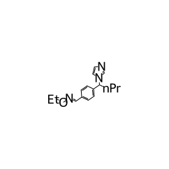 CCCC(c1ccc(C=NOCC)cc1)n1ccnc1